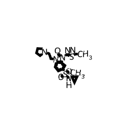 Cc1nnc(-n2c(=O)n(CCN3CCCC3)c3ccc(S(=O)(=O)NC4(C)CC4)cc32)s1